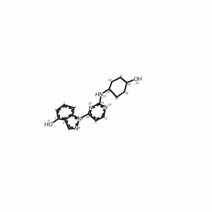 Oc1cccc2c1cnn2-c1ccnc(NC2CCC(O)CC2)n1